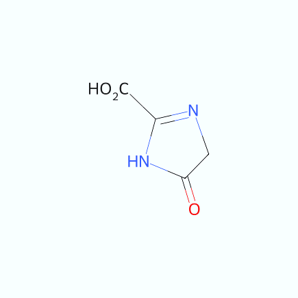 O=C1CN=C(C(=O)O)N1